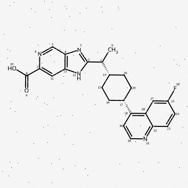 CC(c1nc2cnc(C(=O)O)cc2[nH]1)[C@H]1CC[C@@H](c2ccnc3ccc(F)cc32)CC1